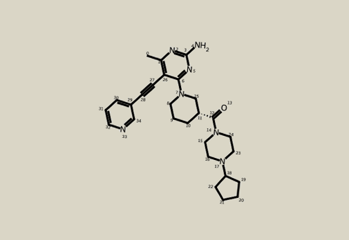 Cc1nc(N)nc(N2CCC[C@@H](C(=O)N3CCN(C4CCCC4)CC3)C2)c1C#Cc1cccnc1